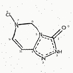 O=c1[nH]nc2n1CN(Cl)C=C2